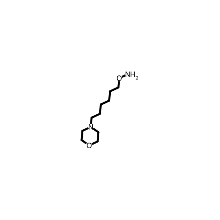 NOCCCCCCN1CCOCC1